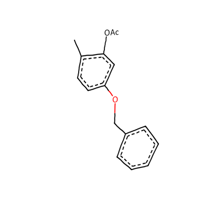 CC(=O)Oc1cc(OCc2ccccc2)ccc1C